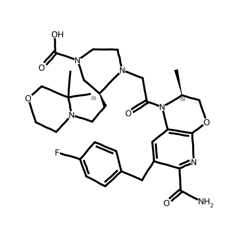 C[C@H]1COc2nc(C(N)=O)c(Cc3ccc(F)cc3)cc2N1C(=O)CN1CCN(C(=O)O)C[C@@H]1CCN1CCOCC1(C)C